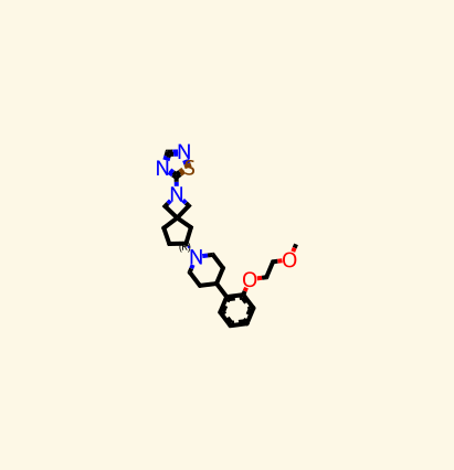 COCCOc1ccccc1C1CCN([C@@H]2CCC3(C2)CN(c2ncns2)C3)CC1